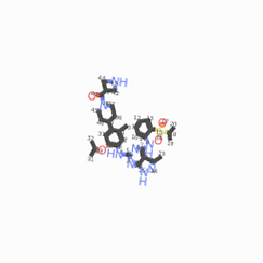 Cc1cc(Nc2nc(Nc3ccccc3S(=O)(=O)C(C)C)c3c(C)n[nH]c3n2)c(OC(C)C)cc1C1CCN(C(=O)C2CNC2)CC1